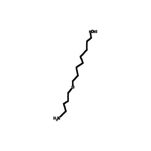 CCCCCCCCCCCCCCCCOCCCCN